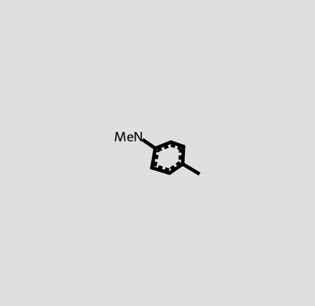 CNc1ccc(C)cc1